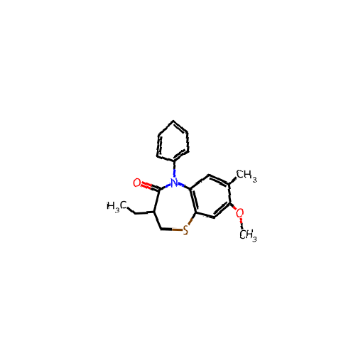 CCC1CSc2cc(OC)c(C)cc2N(c2ccccc2)C1=O